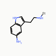 CCNCCc1c[nH]c2ccc(N)cc12